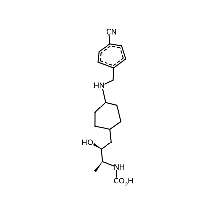 C[C@H](NC(=O)O)[C@@H](O)CC1CCC(NCc2ccc(C#N)cc2)CC1